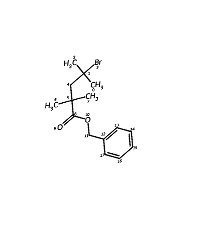 CC(C)(Br)CC(C)(C)C(=O)OCc1ccccc1